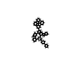 c1ccc(-c2ccc(-c3nc(-c4cccc5c4oc4ccccc45)nc(-c4cccc5oc6ccc(-c7cccc(-c8ccc9c(c8)-c8ccccc8C98c9ccccc9-c9ccccc98)c7)cc6c45)n3)cc2)cc1